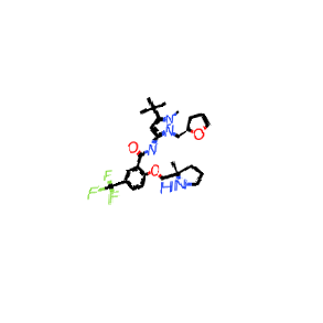 Cn1c(C(C)(C)C)c/c(=N\C(=O)c2cc(C(F)(F)F)ccc2OC[C@]2(C)CCCN2)n1C[C@H]1CCCO1